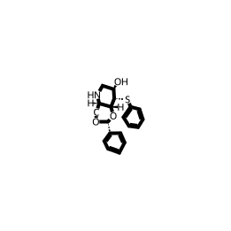 O[C@@H]1CN[C@@H]2CO[C@@H](c3ccccc3)O[C@H]2[C@H]1Sc1ccccc1